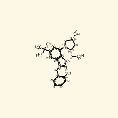 CC(C)(C)c1nc(N2C[C@H](O)C[C@@H]2CO)c2nnn(Cc3ccccc3Cl)c2n1